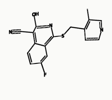 Cc1cnccc1CSc1nc(O)c(C#N)c2ccc(F)cc12